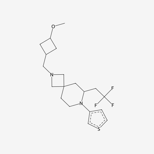 COC1CC(CN2CC3(CCN(c4ccsc4)C(CC(F)(F)F)C3)C2)C1